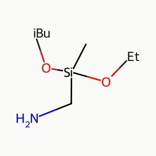 CCO[Si](C)(CN)OC(C)CC